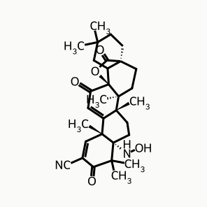 CC1(C)CC[C@@]23CC[C@@]4(C)[C@]5(C)CC[C@@]6(NO)C(C)(C)C(=O)C(C#N)=C[C@]6(C)C5=CC(=O)[C@]4(OC2=O)C3C1